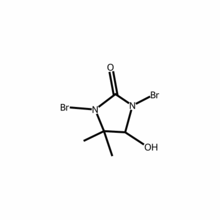 CC1(C)C(O)N(Br)C(=O)N1Br